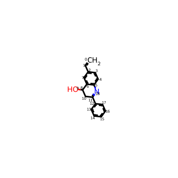 C=Cc1ccc2c(c1)C(O)CC(c1ccccc1)=N2